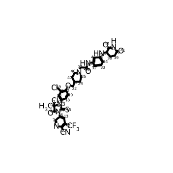 CC1(C)C(=O)N(c2cnc(C#N)c(C(F)(F)F)c2)C(=S)N1c1ccc(OCC2CCN(CC(=O)Nc3cccc(NC4CCC(=O)NC4=O)c3)CC2)c(Cl)c1